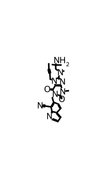 CC#CCn1c(N(C)CC(C)(C)N)nc2c1c(=O)n(Cc1ccc3cccnc3c1C#N)c(=O)n2C